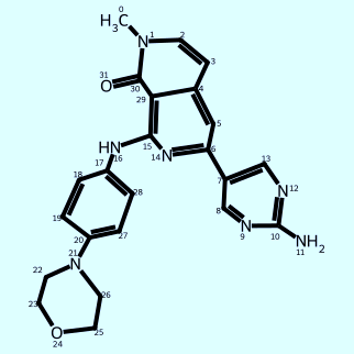 Cn1ccc2cc(-c3cnc(N)nc3)nc(Nc3ccc(N4CCOCC4)cc3)c2c1=O